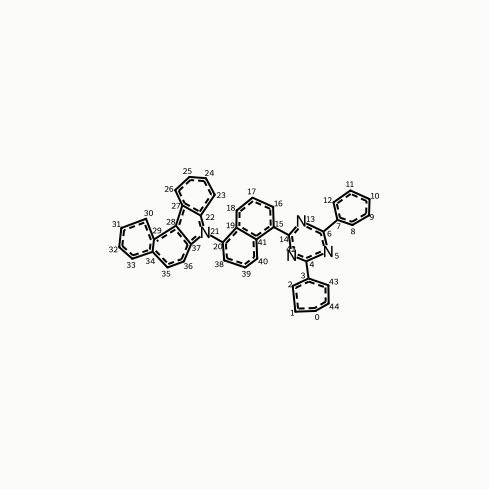 c1ccc(-c2nc(-c3ccccc3)nc(-c3cccc4c(-n5c6ccccc6c6c7ccccc7ccc65)cccc34)n2)cc1